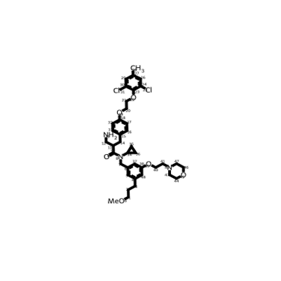 COCCCc1cc(CN(C(=O)C(CN)Cc2ccc(OCCOc3c(Cl)cc(C)cc3Cl)cc2)C2CC2)cc(OCCN2CCOCC2)c1